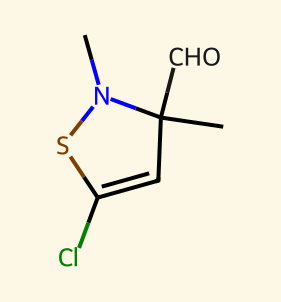 CN1SC(Cl)=CC1(C)C=O